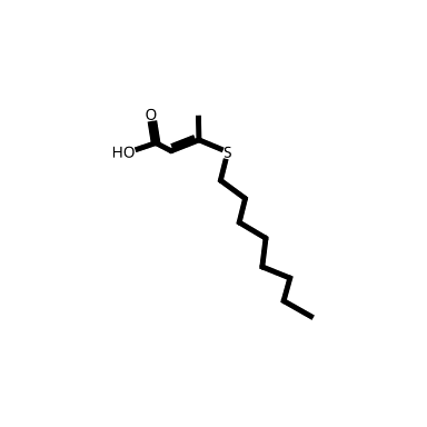 CCCCCCCCSC(C)=CC(=O)O